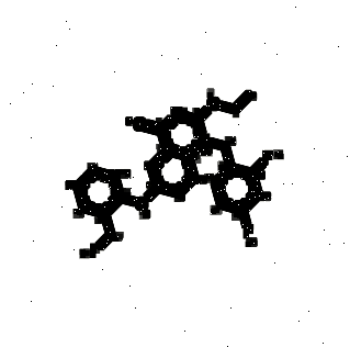 CCOc1nc(=O)c2cc(Oc3ncccc3CF)ccc2n1Cc1ccc(F)cc1F